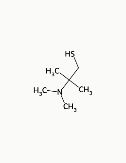 CN(C)C(C)(C)CS